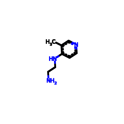 Cc1cnccc1NCCN